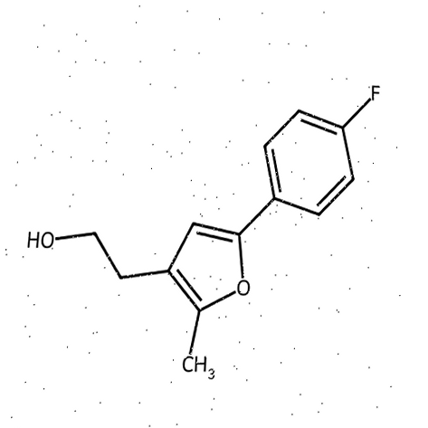 Cc1oc(-c2ccc(F)cc2)cc1CCO